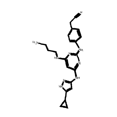 N#CCc1ccc(Nc2nc(NCCCN)cc(Nc3cc(C4CC4)[nH]n3)n2)cc1